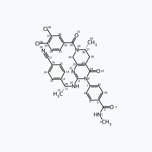 CNC(=O)c1ccc(-n2c(N[C@H](C)c3ccc(C#N)cc3)nc3c(c2=O)C[C@@H](C)N(C(=O)c2ccc(Cl)c(Cl)c2)C3)cc1